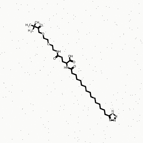 CC(C)(C)C(=O)COCCOCCNC(=O)CCC(NC(=O)CCCCCCCCCCCCCCCc1nnn[nH]1)C(=O)O